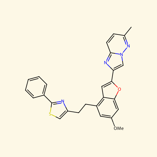 COc1cc(CCc2csc(-c3ccccc3)n2)c2cc(-c3cn4nc(C)ccc4n3)oc2c1